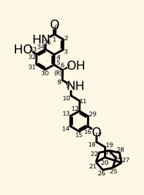 O=c1ccc2c([C@@H](O)CNCCc3cccc(OCCC4C5CC6CC(C5)C4C6)c3)ccc(O)c2[nH]1